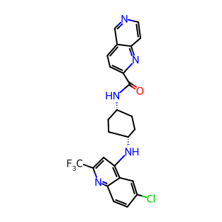 O=C(N[C@H]1CC[C@@H](Nc2cc(C(F)(F)F)nc3ccc(Cl)cc23)CC1)c1ccc2cnccc2n1